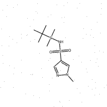 Cn1cc(S(=O)(=O)N[Si](C)(C)C(C)(C)C)cn1